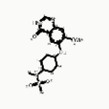 COc1cc2nc[nH]c(=O)c2cc1OC1CCC(N(C)S(C)(=O)=O)CC1